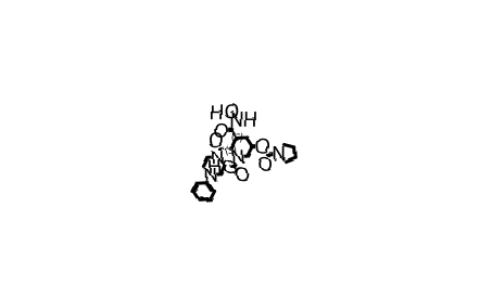 O=C(NO)[C@H]1CC(OC(=O)N2CCCC2)CN(C(=O)O)[C@@H]1C(=O)N1CCN(c2ccccc2)CC1